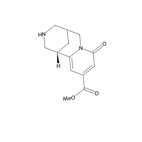 COC(=O)c1cc2n(c(=O)c1)CC1CNC[C@@H]2C1